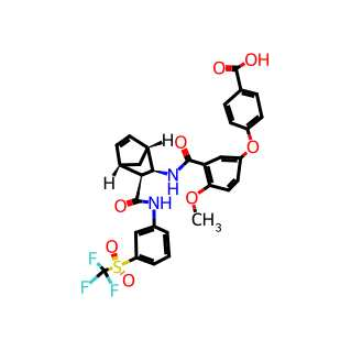 COc1ccc(Oc2ccc(C(=O)O)cc2)cc1C(=O)N[C@H]1[C@@H](C(=O)Nc2cccc(S(=O)(=O)C(F)(F)F)c2)[C@@H]2C=C[C@H]1C2